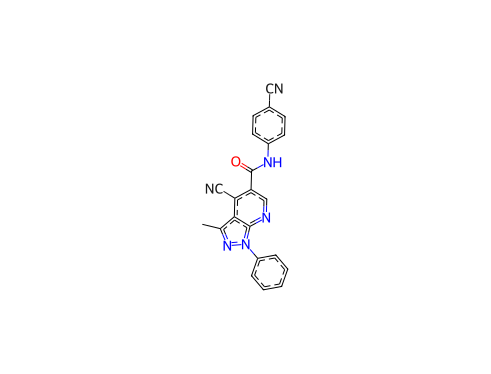 Cc1nn(-c2ccccc2)c2ncc(C(=O)Nc3ccc(C#N)cc3)c(C#N)c12